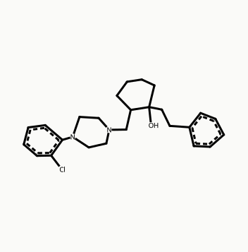 OC1(CCc2ccccc2)CCCCC1CN1CCN(c2ccccc2Cl)CC1